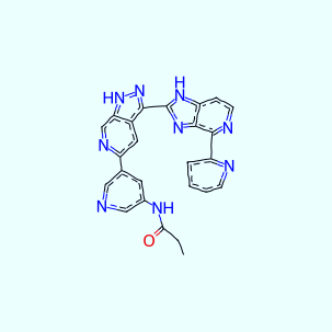 CCC(=O)Nc1cncc(-c2cc3c(-c4nc5c(-c6ccccn6)nccc5[nH]4)n[nH]c3cn2)c1